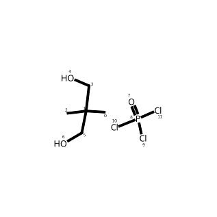 CC(C)(CO)CO.O=P(Cl)(Cl)Cl